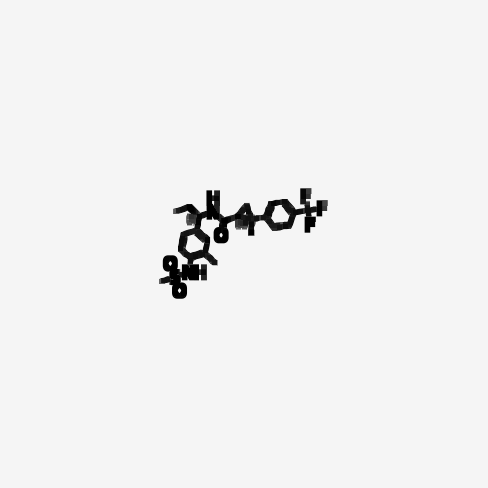 CC[C@@H](NC(=O)[C@H]1C[C@]1(C)c1ccc(C(F)(F)F)cc1)c1ccc(NS(C)(=O)=O)c(C)c1